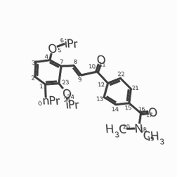 CCCc1ccc(OC(C)C)c(C=CC(=O)c2ccc(C(=O)N(C)C)cc2)c1OC(C)C